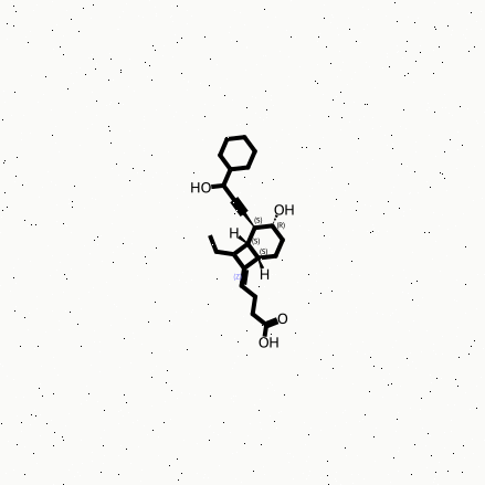 CCC1/C(=C/CCC(=O)O)[C@H]2CC[C@@H](O)[C@H](C#CC(O)C3CCCCC3)[C@@H]12